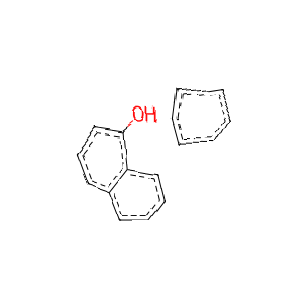 Oc1cccc2ccccc12.c1ccccc1